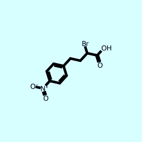 O=C(O)C(Br)CCc1ccc([N+](=O)[O-])cc1